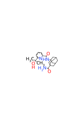 CC(C)(O)c1cccc(C(=O)NC23CC4CC(C2)CC(C(N)=O)(C4)C3)n1